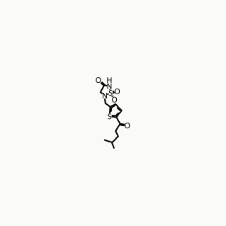 CC(C)CCC(=O)c1ccc(CN2CC(=O)NS2(=O)=O)s1